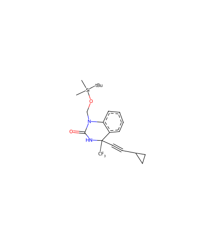 CC(C)(C)[Si](C)(C)OCN1C(=O)NC(C#CC2CC2)(C(F)(F)F)c2ccccc21